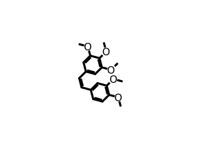 COc1ccc(/C=C\c2cc(OC)c(OC)c(OC)c2)cc1OC